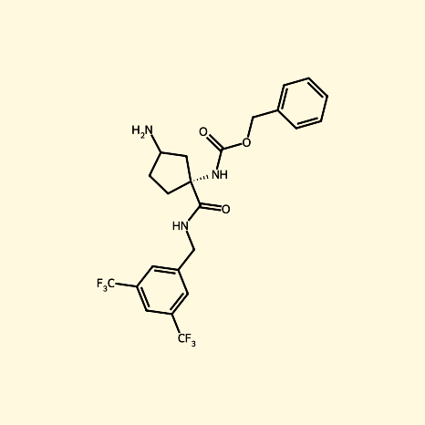 NC1CC[C@](NC(=O)OCc2ccccc2)(C(=O)NCc2cc(C(F)(F)F)cc(C(F)(F)F)c2)C1